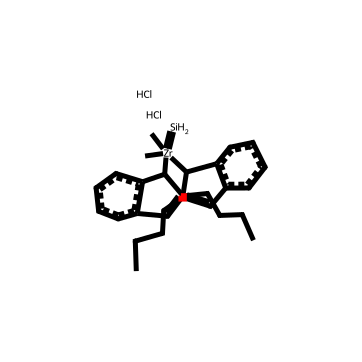 CCCCC1=Cc2ccccc2[CH]1[Zr]([CH3])([CH3])(=[SiH2])[CH]1C(CCCC)=Cc2ccccc21.Cl.Cl